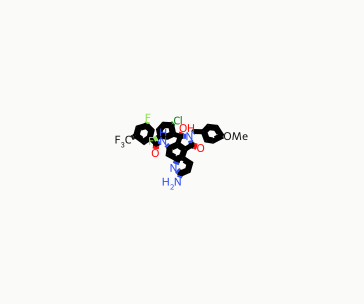 COc1ccc(CN2C(=O)c3c(c(NC(=O)c4cc(F)cc(C(F)(F)F)c4)cc4nc(N)ccc34)C2(O)c2cc(F)ccc2Cl)cc1